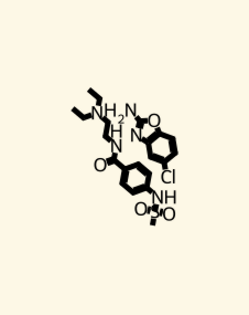 CCN(CC)CCNC(=O)c1ccc(NS(C)(=O)=O)cc1.Nc1nc2cc(Cl)ccc2o1